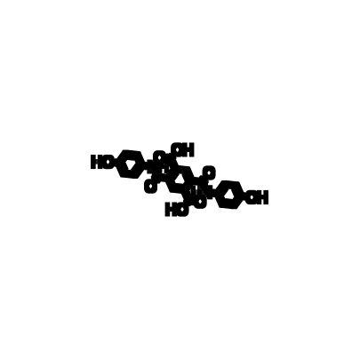 O=C(O)c1cc(C(=O)Nc2ccc(O)cc2)c(C(=O)O)cc1C(=O)Nc1ccc(O)cc1